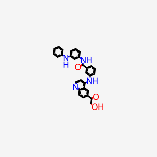 O=C(CO)c1ccc2nccc(Nc3cccc(C(=O)Nc4cccc(Nc5ccccc5)c4)c3)c2c1